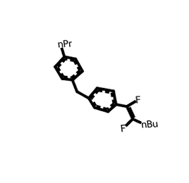 CCCCC(F)=C(F)c1ccc(Cc2ccc(CCC)cc2)cc1